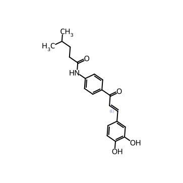 CC(C)CCC(=O)Nc1ccc(C(=O)/C=C/c2ccc(O)c(O)c2)cc1